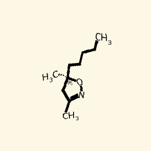 CCCCC[C@]1(C)CC(C)=NO1